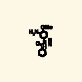 COc1ccc(NC(=O)c2ccccc2)cc1N.N#N